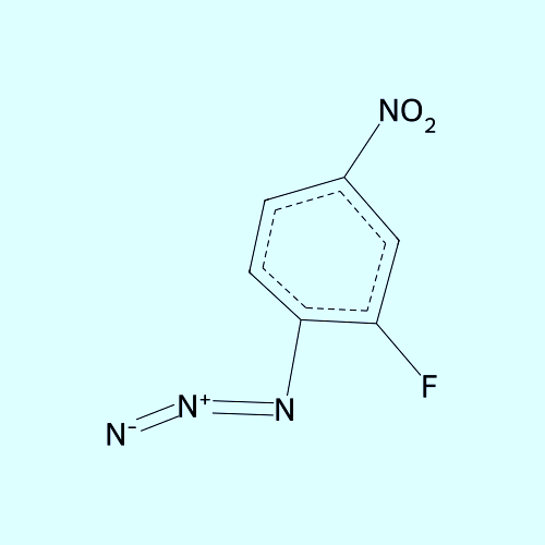 [N-]=[N+]=Nc1ccc([N+](=O)[O-])cc1F